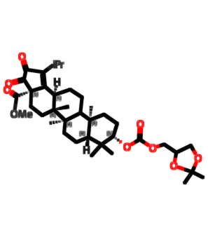 COC(=O)[C@@]12CC[C@]3(C)[C@H](CCC4[C@@]5(C)CC[C@H](OC(=O)OCC6COC(C)(C)O6)C(C)(C)[C@@H]5CC[C@]43C)C1=C(C(C)C)C(=O)C2=O